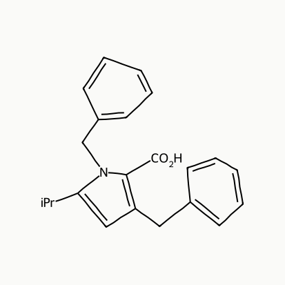 CC(C)c1cc(Cc2ccccc2)c(C(=O)O)n1Cc1ccccc1